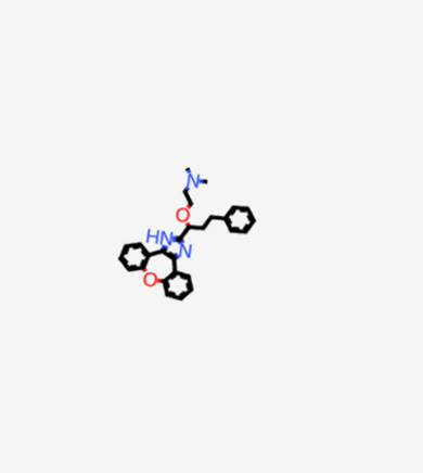 CN(C)CCOC(CCc1ccccc1)c1nc2c([nH]1)-c1ccccc1Oc1ccccc1-2